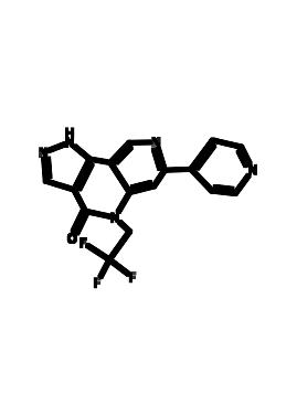 O=c1c2cn[nH]c2c2cnc(-c3ccncc3)cc2n1CC(F)(F)F